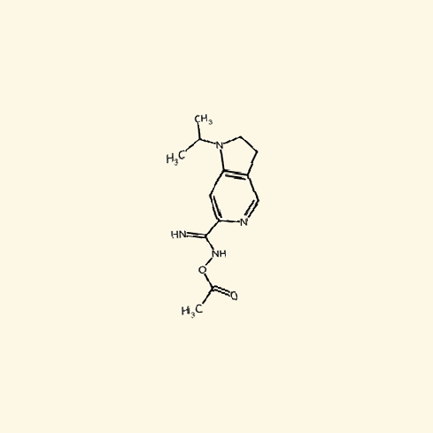 CC(=O)ONC(=N)c1cc2c(cn1)CCN2C(C)C